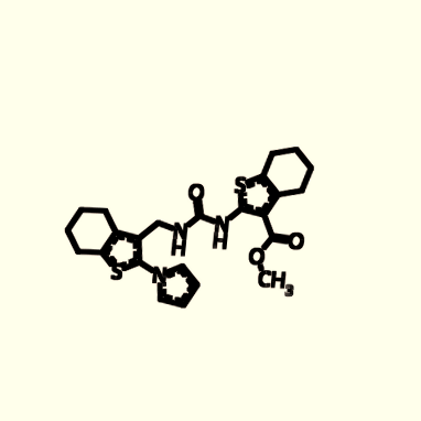 COC(=O)c1c(NC(=O)NCc2c(-n3cccc3)sc3c2CCCC3)sc2c1CCCC2